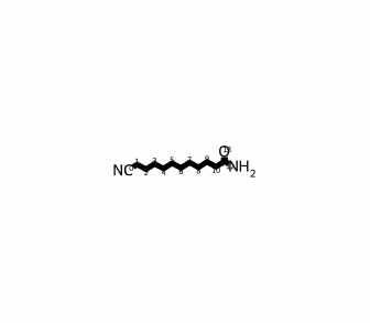 N#CCCCCCCCCCCC(N)=O